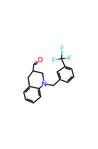 O=CC1Cc2ccccc2N(Cc2cccc(C(F)(F)F)c2)C1